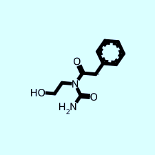 NC(=O)N(CCO)C(=O)[CH]c1ccccc1